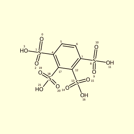 O=S(=O)(O)c1ccc(S(=O)(=O)O)c(S(=O)(=O)O)c1S(=O)(=O)O